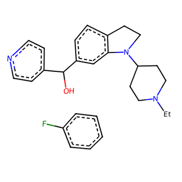 CCN1CCC(N2CCc3ccc(C(O)c4ccncc4)cc32)CC1.Fc1ccccc1